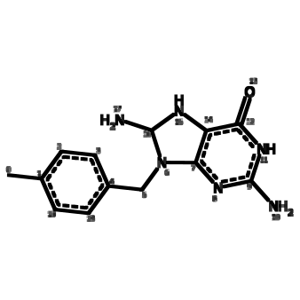 Cc1ccc(CN2c3nc(N)[nH]c(=O)c3NC2N)cc1